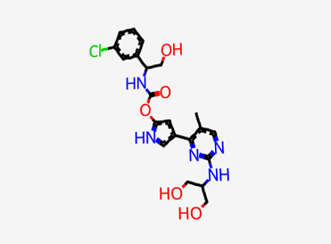 Cc1cnc(NC(CO)CO)nc1-c1c[nH]c(OC(=O)NC(CO)c2cccc(Cl)c2)c1